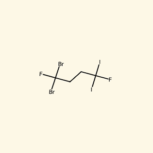 FC(Br)(Br)CCC(F)(I)I